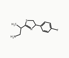 CC(CN)C1=NC(c2ccc(F)cc2)CS1